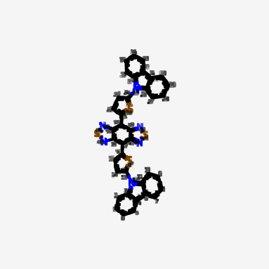 c1ccc2c(c1)c1ccccc1n2-c1ccc(-c2c3c(c(-c4ccc(-n5c6ccccc6c6ccccc65)s4)c4nsnc24)N=S=N3)s1